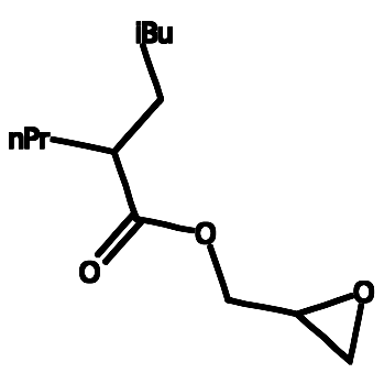 CCCC(CC(C)CC)C(=O)OCC1CO1